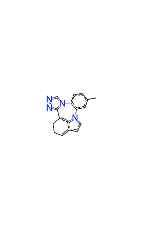 Cc1ccc2c(c1)-n1ccc3c1=C(CCC=3)c1nncn1-2